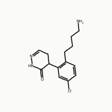 NCCCCc1ccc(Cl)cc1C1CC=NNC1=O